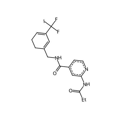 CCC(=O)Nc1cc(C(=O)NCC2=CC(C(F)(F)I)=CCC2)ccn1